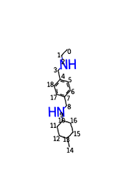 CCNCc1ccc(CNC2CCC(C)CC2)cc1